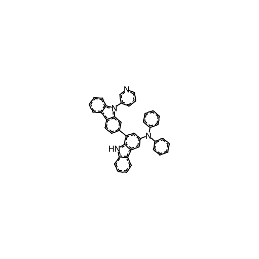 c1ccc(N(c2ccccc2)c2cc(-c3ccc4c5ccccc5n(-c5cccnc5)c4c3)c3[nH]c4ccccc4c3c2)cc1